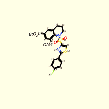 CCOC(=O)c1cc2c(c(OC)c1)N(S(=O)(=O)c1csc(-c3ccc(F)cc3)n1)CCC2